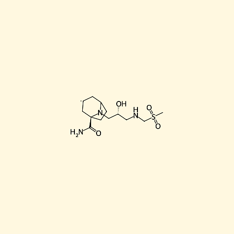 CS(=O)(=O)CNC[C@@H](O)CN1C2C[CH]C[C@@]1(C(N)=O)CC2